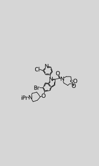 CC(C)N1CCC(Oc2cc3cc(C(=O)N4CCS(=O)(=O)CC4)n(-c4ccnc(Cl)c4)c3cc2Br)CC1